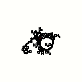 C/C1=C\C=C\[C@@H](C)[C@@]2(O)CC(OC(=O)N2)[C@@H](C)[C@@H]2O[C@@]2(C)[C@@H](CC(=O)[C@H](C)N(C)C(CCSSCCCC(=O)ON2C(=O)CCC2=O)C(F)(F)F)CC(=O)N(C)c2cc(cc(C)c2Cl)C1